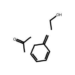 C=C1C=CC=CC1.CC(C)=O.CCO